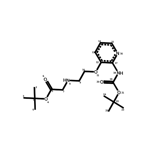 CC(C)(C)OC(=O)CNCCOc1cccnc1NC(=O)OC(C)(C)C